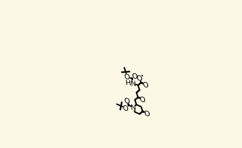 COC(=O)C(CCC(=O)CC1CC(=O)CCN1C(=O)OC(C)(C)C)NC(=O)OC(C)(C)C